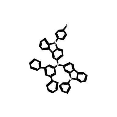 Fc1ccc(-n2c3ccccc3c3cc(N(c4cc(-c5ccccc5)cc(-c5ccccc5)c4)c4ccc5c6ccccc6n(-c6ccccc6)c5c4)ccc32)cc1